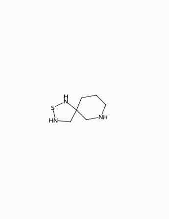 C1CNCC2(C1)CNSN2